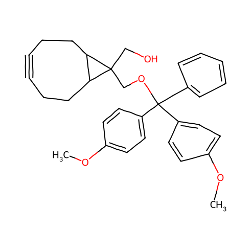 COc1ccc(C(OCC2(CO)C3CCC#CCCC32)(c2ccccc2)c2ccc(OC)cc2)cc1